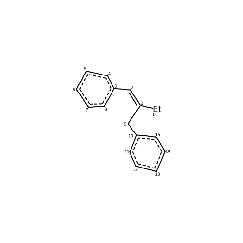 CCC(=Cc1ccccc1)Cc1ccccc1